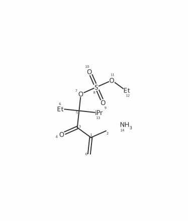 C=C(C)C(=O)C(CC)(OS(=O)(=O)OCC)C(C)C.N